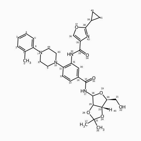 Cc1ccccc1N1CCN(c2ccc(C(=O)NC3O[C@@H](CO)[C@@H]4OC(C)(C)OC34)cc2NC(=O)c2coc(C3CC3)n2)CC1